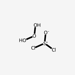 OOO.[O-][S+](Cl)Cl